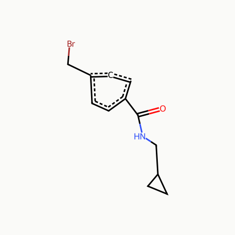 O=C(NCC1CC1)c1ccc(CBr)cc1